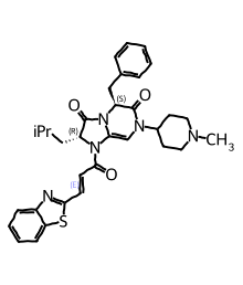 CC(C)C[C@@H]1C(=O)N2C(=CN(C3CCN(C)CC3)C(=O)[C@@H]2Cc2ccccc2)N1C(=O)/C=C/c1nc2ccccc2s1